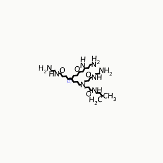 C=C(C)CCNC(=O)CCN(CCC/C(=C/CCC(=O)NCCN)CCC(=O)CC(=N)CCN)CCC(=O)NCCN